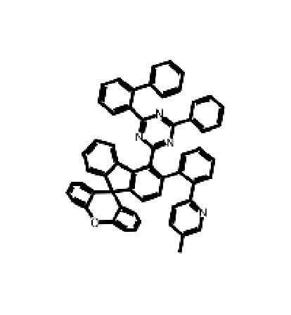 Cc1ccc(-c2ccccc2-c2ccc3c(c2-c2nc(-c4ccccc4)nc(-c4ccccc4-c4ccccc4)n2)-c2ccccc2C32c3ccccc3Oc3ccccc32)nc1